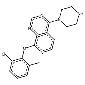 Cc1cccc(Cl)c1Oc1nccc2c(N3CCNCC3)ncnc12